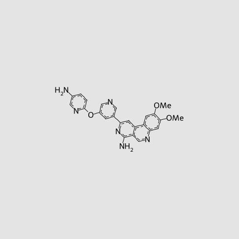 COc1cc2ncc3c(N)nc(-c4cncc(Oc5ccc(N)cn5)c4)cc3c2cc1OC